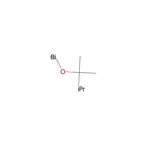 CC(C)C(C)(C)[O][Bi]